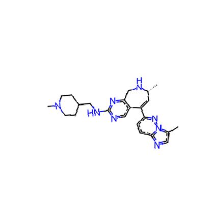 Cc1cnc2ccc(C3=C[C@@H](C)NCc4nc(NCC5CCN(C)CC5)ncc43)nn12